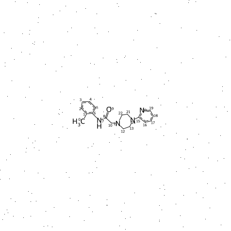 Cc1ccccc1NC(=O)CN1CCN(c2ccccn2)CC1